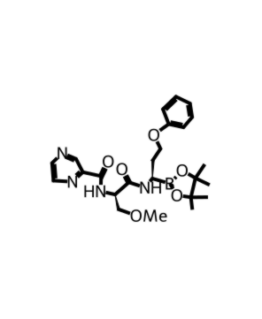 COC[C@@H](NC(=O)c1cnccn1)C(=O)N[C@@H](CCOc1ccccc1)B1OC(C)(C)C(C)(C)O1